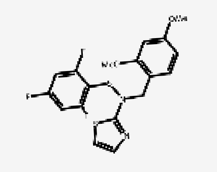 COc1ccc(CN(Sc2c(F)cc(F)cc2F)c2nccs2)c(OC)c1